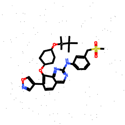 CC(C)(C)[Si](C)(C)O[C@H]1CC[C@@H](Oc2c(-c3cnoc3)ccc3cnc(Nc4cccc(CS(C)(=O)=O)c4)nc23)CC1